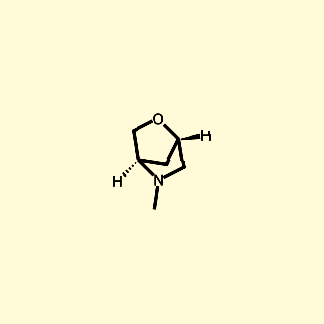 CN1C[C@@H]2C[C@@H]1CO2